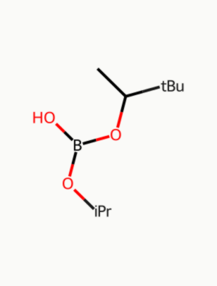 CC(C)OB(O)OC(C)C(C)(C)C